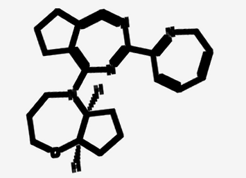 C1=NC(C2=NCC=CC=C2)=NC(N2CCCO[C@@H]3CCC[C@@H]32)=C2CCCC=12